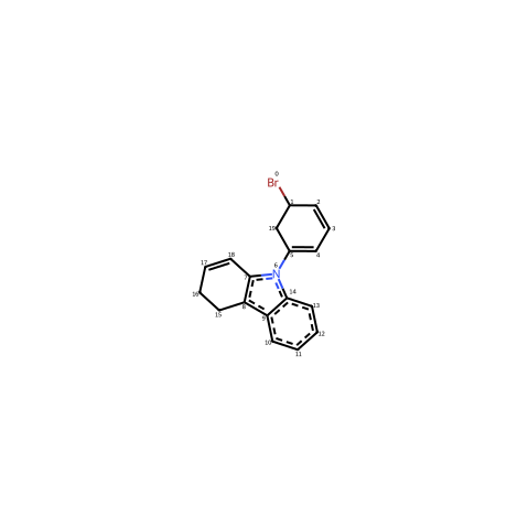 BrC1C=CC=C(n2c3c(c4ccccc42)CCC=C3)C1